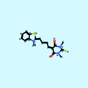 CCN1/C(=C\C=C\C=C2C(=O)N(C)C(=S)N(C)C2=O)Sc2ccccc21